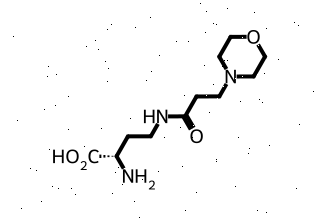 N[C@@H](CCNC(=O)CCN1CCOCC1)C(=O)O